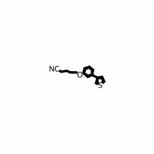 N#CCCCCOc1cccc(-c2ccsc2)c1